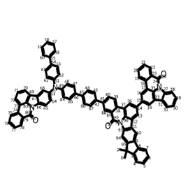 CC1(C)c2ccccc2-c2cc3c4cc(-c5cc6c7ccccc7c(=O)n7c8ccccc8c(c5)c67)cc5c6ccc(-c7ccc(-c8ccc(N(c9ccc(-c%10ccccc%10)cc9)c9ccc%10c(c9)c9cccc%11c%12ccccc%12c(=O)n%10c%119)cc8)cc7)cc6c(=O)n(c3cc21)c54